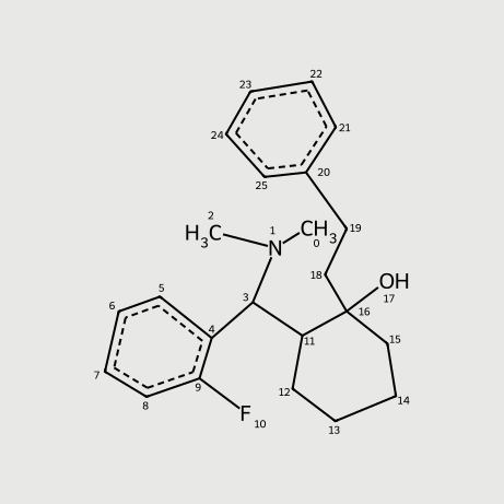 CN(C)C(c1ccccc1F)C1CCCCC1(O)CCc1ccccc1